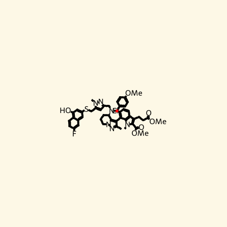 COC(=O)CCc1c(C(=O)OC)n(C)c2c(-c3c(C)nn4c3[C@H](N(Cc3ccc(OC)cc3)Cc3cc(CSc5cc(O)c6ccc(F)cc6c5)n(C)n3)CCC4)c(Cl)ccc12